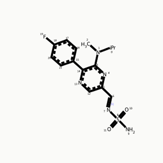 CC(C)N(C)c1nc(/C=N/S(N)(=O)=O)cnc1-c1ccc(F)cc1